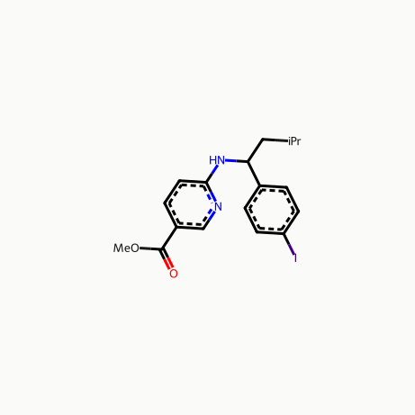 COC(=O)c1ccc(NC(CC(C)C)c2ccc(I)cc2)nc1